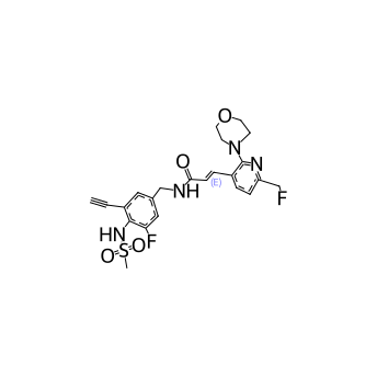 C#Cc1cc(CNC(=O)/C=C/c2ccc(CF)nc2N2CCOCC2)cc(F)c1NS(C)(=O)=O